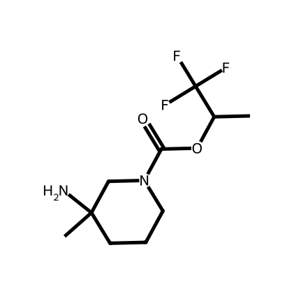 CC(OC(=O)N1CCCC(C)(N)C1)C(F)(F)F